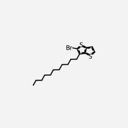 CCCCCCCCCCCc1c(Br)sc2ccsc12